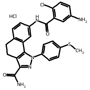 CSc1ccc(-n2nc(C(N)=O)c3c2-c2cc(NC(=O)c4cc(N)ccc4Cl)ccc2CC3)cc1.Cl